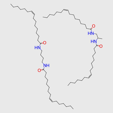 CCCCCC/C=C\CCCCCCCC(=O)NCC(C)NC(=O)CCCCCCC/C=C\CCCCCC.CCCCCC/C=C\CCCCCCCC(=O)NCCCCNC(=O)CCCCCCC/C=C\CCCCCC